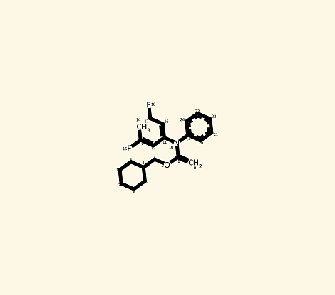 C=C(OCC1CCCCC1)N(C(/C=C(\C)F)=C/CF)c1ccccc1